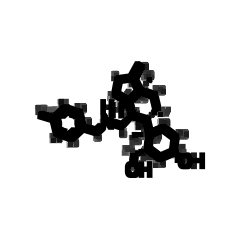 C=C1CC[C@H]2[C@H](CNCc3ccc(C)cc3)[C@@H]([C@@]3(C)CC[C@H](O)C[C@@H]3CO)CC[C@]12C